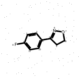 Fc1ccc(C2=NO[C]C2)cc1